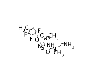 COC(=O)c1c(OCc2c(F)cc(C)c(F)c2F)nsc1NC(=O)N(C)CCCN